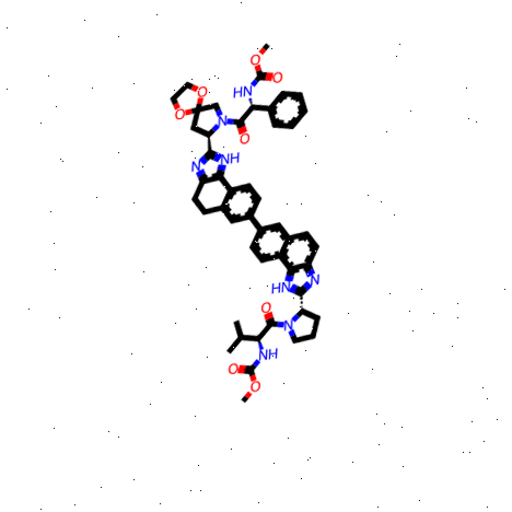 COC(=O)N[C@H](C(=O)N1CCC[C@H]1c1nc2ccc3cc(-c4ccc5c(c4)CCc4nc([C@H]6CC7(CN6C(=O)[C@H](NC(=O)OC)c6ccccc6)OCCO7)[nH]c4-5)ccc3c2[nH]1)C(C)C